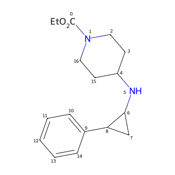 CCOC(=O)N1CCC(NC2CC2c2ccccc2)CC1